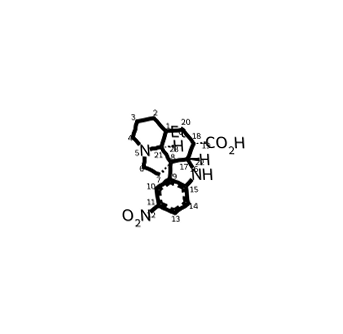 CC[C@]12CCCN3CC[C@]4(c5cc([N+](=O)[O-])ccc5N[C@H]4[C@@H](C(=O)O)C1)[C@@H]32